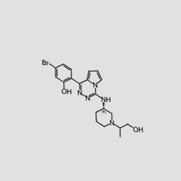 CC(CO)N1CCC[C@@H](Nc2nnc(-c3ccc(Br)cc3O)c3cccn23)C1